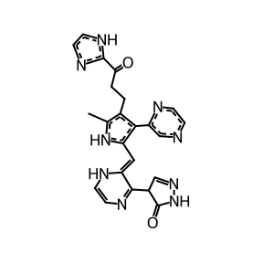 Cc1[nH]c(C=C2NC=CN=C2C2C=NNC2=O)c(-c2cnccn2)c1CCC(=O)c1ncc[nH]1